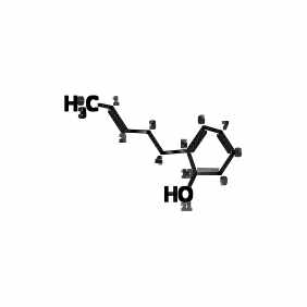 CC=CCCc1ccccc1O